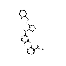 N=NC(=O)c1cnccc1Nc1nc(C(N)C2=C(NCc3ccccc3F)CCC2)ncc1O